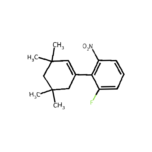 CC1(C)C=C(c2c(F)cccc2[N+](=O)[O-])CC(C)(C)C1